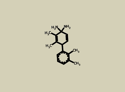 CC1=C(C)C(N)(N)C=CC1c1cccc(C)c1C